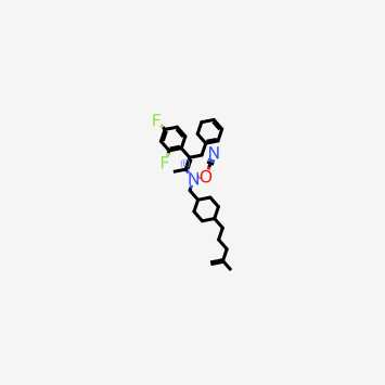 C=C(C)CCCC1CCC(CN(OC#N)/C(C)=C(\CC2=CC=CCC2)c2ccc(F)cc2F)CC1